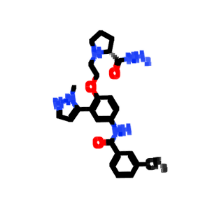 Cn1nccc1-c1cc(NC(=O)c2cccc(C(F)(F)F)c2)ccc1OCCN1CCC[C@@H]1C(N)=O